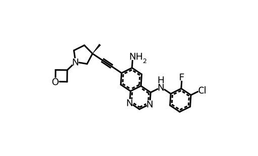 C[C@]1(C#Cc2cc3ncnc(Nc4cccc(Cl)c4F)c3cc2N)CCN(C2COC2)C1